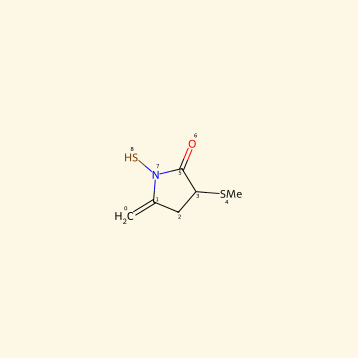 C=C1CC(SC)C(=O)N1S